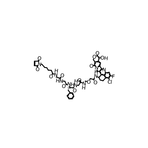 O=C(CCCCCN1C(=O)C=CC1=O)NCC(=O)NCC(=O)N[C@@H](Cc1ccccc1)C(=O)NCC(=O)NCOCC(=O)NC1CCc2c(Cl)c(F)cc3nc4c(c1c23)Cn1c-4cc2c(c1=O)COC(=O)[C@H]2O